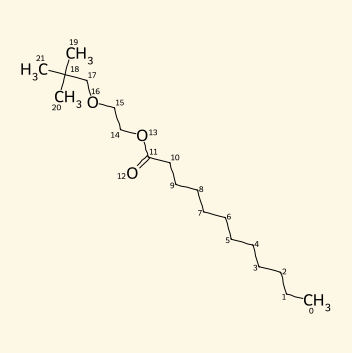 CCCCCCCCCCCC(=O)OCCOCC(C)(C)C